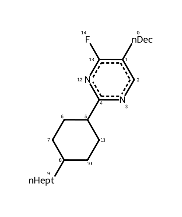 CCCCCCCCCCc1cnc(C2CCC(CCCCCCC)CC2)nc1F